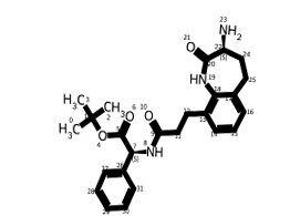 CC(C)(C)OC(=O)[C@@H](NC(=O)CCc1cccc2c1NC(=O)[C@@H](N)CC2)c1ccccc1